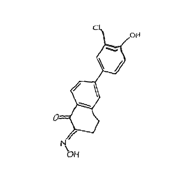 O=C1/C(=N/O)CCc2cc(-c3ccc(O)c(Cl)c3)ccc21